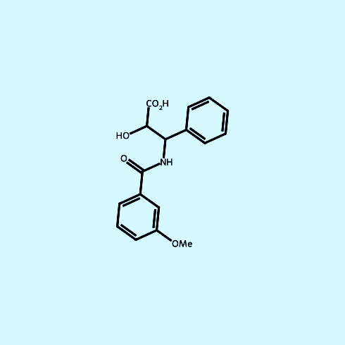 COc1cccc(C(=O)NC(c2ccccc2)C(O)C(=O)O)c1